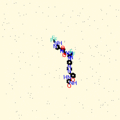 O=C1CCC(Nc2ccccc2CN2CCN(c3ccc(-n4cc(NC(=O)c5coc(-c6ccnc(NCC(F)(F)F)c6)n5)c(C(F)F)n4)cc3)CC2)C(=O)N1